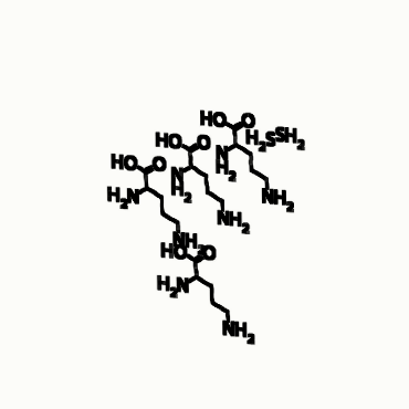 NCCCC(N)C(=O)O.NCCCC(N)C(=O)O.NCCCC(N)C(=O)O.NCCCC(N)C(=O)O.S.S